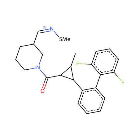 CS/N=C\C1CCCN(C(=O)C2C(C)C2c2ccccc2-c2c(F)cccc2F)C1